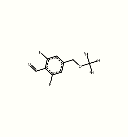 [2H]C([2H])([2H])OCc1cc(F)c(C=O)c(F)c1